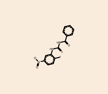 O=C(NC(=S)Nc1cc([N+](=O)[O-])ccc1F)c1ccccc1